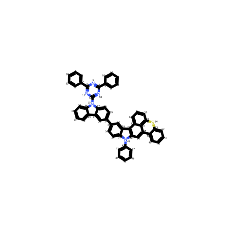 c1ccc(-c2nc(-c3ccccc3)nc(-n3c4ccccc4c4cc(-c5ccc6c(c5)c5c7cccc8c7c(cc5n6-c5ccccc5)-c5ccccc5S8)ccc43)n2)cc1